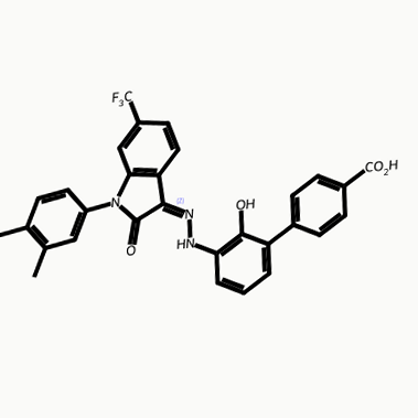 Cc1ccc(N2C(=O)/C(=N\Nc3cccc(-c4ccc(C(=O)O)cc4)c3O)c3ccc(C(F)(F)F)cc32)cc1C